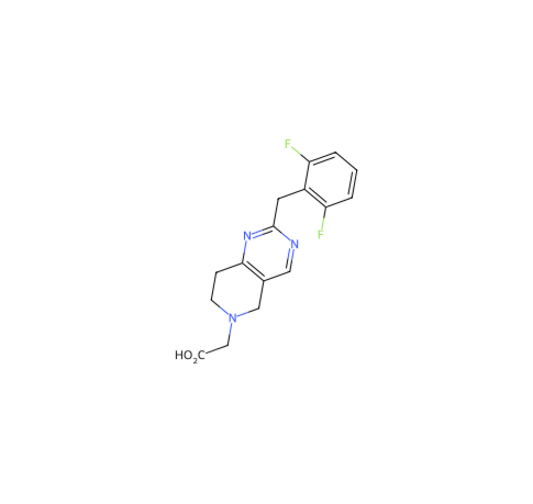 O=C(O)CN1CCc2nc(Cc3c(F)cccc3F)ncc2C1